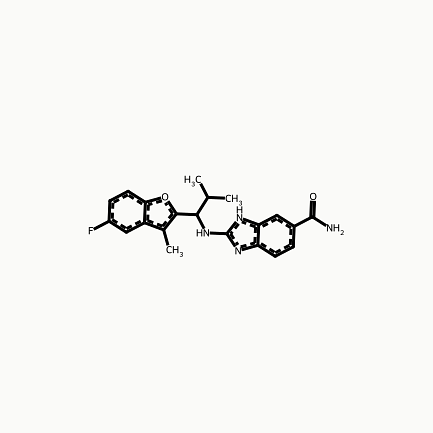 Cc1c(C(Nc2nc3ccc(C(N)=O)cc3[nH]2)C(C)C)oc2ccc(F)cc12